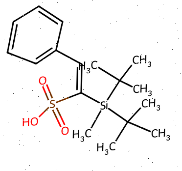 CC(C)(C)[Si](C)(C(=Cc1ccccc1)S(=O)(=O)O)C(C)(C)C